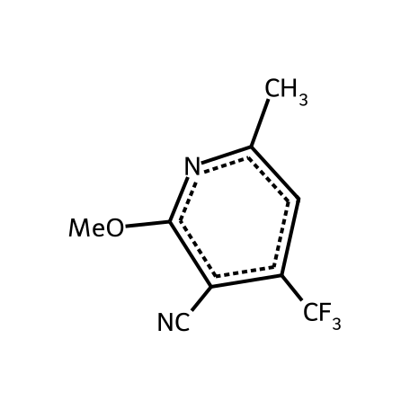 COc1nc(C)cc(C(F)(F)F)c1C#N